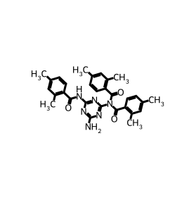 Cc1ccc(C(=O)Nc2nc(N)nc(N(C(=O)c3ccc(C)cc3C)C(=O)c3ccc(C)cc3C)n2)c(C)c1